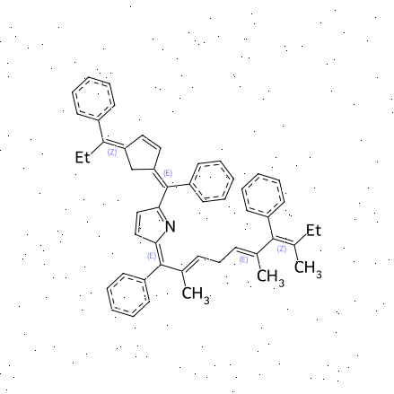 CC/C(C)=C(/C(C)=C/CC=C(C)/C(=C1/C=CC(C(=C2C=C/C(=C(/CC)c3ccccc3)C/2)/c2ccccc2)=N1)c1ccccc1)c1ccccc1